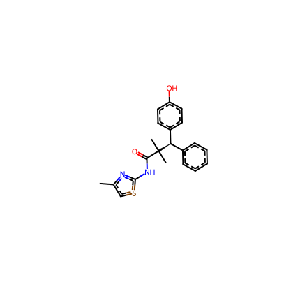 Cc1csc(NC(=O)C(C)(C)[C@H](c2ccccc2)c2ccc(O)cc2)n1